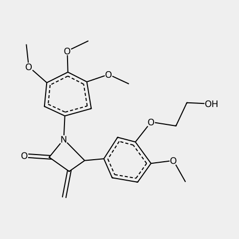 C=C1C(=O)N(c2cc(OC)c(OC)c(OC)c2)C1c1ccc(OC)c(OCCO)c1